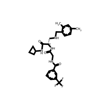 Cc1ccc(CNC[C@H](NC(=O)CNC(=O)c2cccc(C(F)(F)F)c2)C(=O)NC2CCC2)c(C)c1